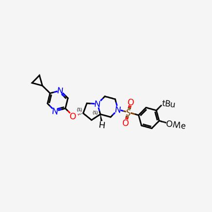 COc1ccc(S(=O)(=O)N2CCN3C[C@@H](Oc4cnc(C5CC5)cn4)C[C@H]3C2)cc1C(C)(C)C